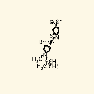 CCN(CC[N+](C)(C)C)c1ccc(N=Nc2nc3ccc([N+](=O)[O-])cc3s2)cc1.[Br-]